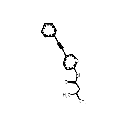 CC(C)CC(=O)Nc1ccc(C#Cc2ccccc2)cn1